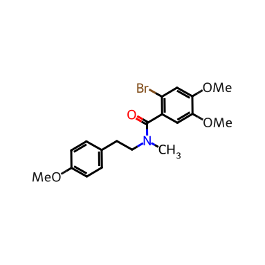 COc1ccc(CCN(C)C(=O)c2cc(OC)c(OC)cc2Br)cc1